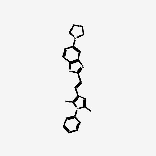 Cc1cc(C=Cc2nc3cc(N4CCCC4)ccc3o2)c(C)n1-c1ccccc1